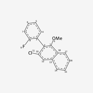 COc1c(-c2ccccc2F)c(Cl)cc2ccccc12